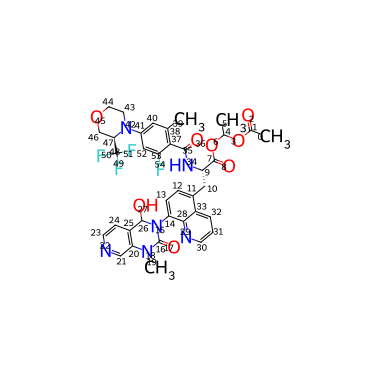 CC(=O)OC(C)OC(=O)[C@H](Cc1ccc(N2C(=O)N(C)c3cnccc3C2O)c2ncccc12)NC(=O)c1c(C)cc(N2CCOC[C@@H]2C(F)(F)F)cc1F